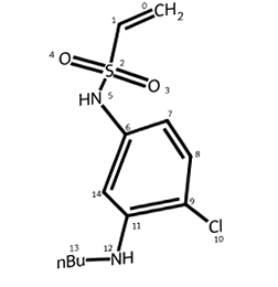 C=CS(=O)(=O)Nc1ccc(Cl)c(NCCCC)c1